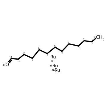 CCCCCCCCCCCCC=O.[Ru].[Ru].[Ru]